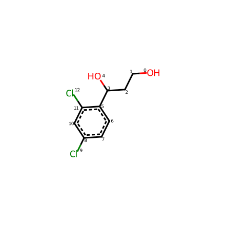 OCCC(O)c1ccc(Cl)cc1Cl